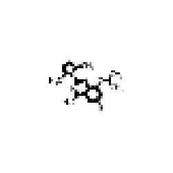 Cc1nc(-n2c(C)ccc2C)nc2c(OC(C)C)cc(Br)cc12